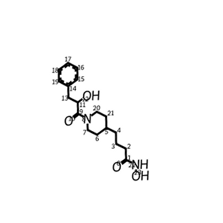 O=C(CCCC1CCN(C(=O)C(O)Cc2ccccc2)CC1)NO